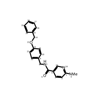 CNc1ccc(C(=O)NCc2ccc(OCc3ccccc3)cc2)cn1